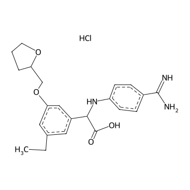 CCc1cc(OCC2CCCO2)cc(C(Nc2ccc(C(=N)N)cc2)C(=O)O)c1.Cl